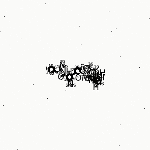 COc1c(-c2cc(C(=O)N[C@@H](Cc3ccccc3)CN(C)C)cc(N(C)C)c2)ccc(F)c1CN1O[C@@H](C)[C@@H]([C@H](C)O)[C@H]1C(=O)N[C@H]1C[C@H]2C[C@@H]([C@@H]1C)C2(C)C